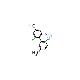 Cc1cc(N)c(-c2cc(C)ccc2Cl)c(F)c1